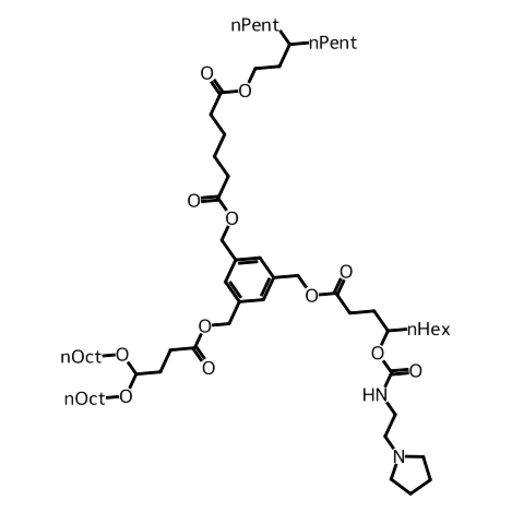 CCCCCCCCOC(CCC(=O)OCc1cc(COC(=O)CCCCC(=O)OCCC(CCCCC)CCCCC)cc(COC(=O)CCC(CCCCCC)OC(=O)NCCN2CCCC2)c1)OCCCCCCCC